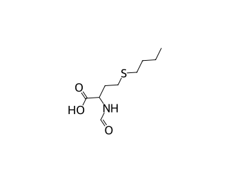 CCCCSCCC(NC=O)C(=O)O